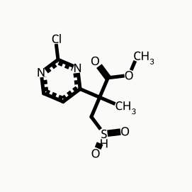 COC(=O)C(C)(C[SH](=O)=O)c1ccnc(Cl)n1